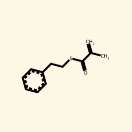 C=C(C)C(=O)SCCc1ccccc1